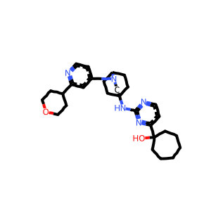 OC1(c2ccnc(NC34CCC(CC3)N(c3ccnc(C5CCOCC5)c3)C4)n2)CCCCCC1